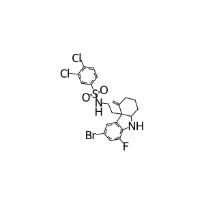 C=C1CCCC2Nc3c(F)cc(Br)cc3C12CCNS(=O)(=O)c1ccc(Cl)c(Cl)c1